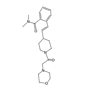 CN(C)C(=O)c1ccccc1/C=C/C1CCN(C(=O)CN2CCOCC2)CC1